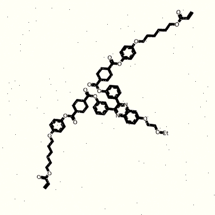 C=CC(=O)OCCCCCCOc1ccc(OC(=O)C2CCC(C(=O)Oc3cccc(-c4nc5ccc(OCCOCC)cc5nc4-c4cccc(OC(=O)C5CCC(C(=O)Oc6ccc(OCCCCCCOC(=O)C=C)cc6)CC5)c4)c3)CC2)cc1